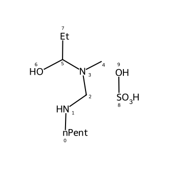 CCCCCNCN(C)C(O)CC.O=S(=O)(O)O